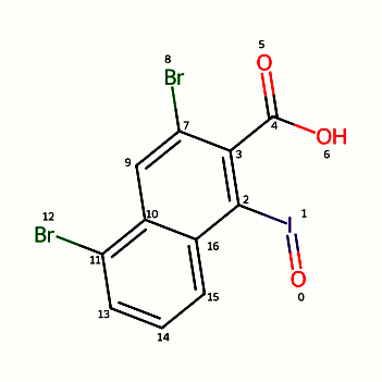 O=Ic1c(C(=O)O)c(Br)cc2c(Br)cccc12